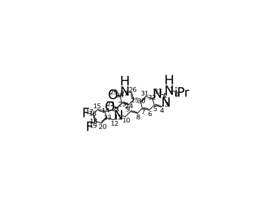 CC(C)Nc1ncc2cc(/C=C/CN(Cc3ccc(F)c(F)c3)C(=O)c3ccc[nH]c3=O)ccc2n1